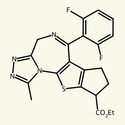 CCOC(=O)C1CCc2c1sc1c2C(c2c(F)cccc2F)=NCc2nnc(C)n2-1